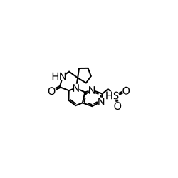 O=C1NCC2(CCCC2)N2c3nc(C[SH](=O)=O)ncc3C=CC12